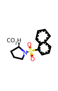 O=C(O)[C@@H]1CCCN1S(=O)(=O)c1cccc2ccccc12